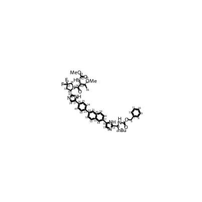 CCCC[C@H](NC(=O)OCc1ccccc1)c1ncc(-c2ccc3cc(-c4ccc(-c5cnc([C@@H]6CC(F)(F)CN6C(=O)[C@@H](NC(=O)OC)[C@@H](C)OC)[nH]5)cc4)ccc3c2)[nH]1